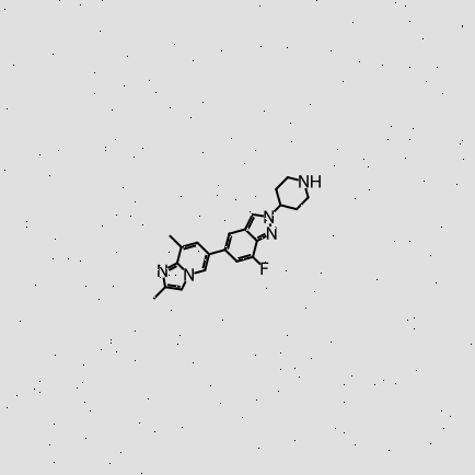 Cc1cn2cc(-c3cc(F)c4nn(C5CCNCC5)cc4c3)cc(C)c2n1